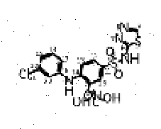 O=CO.O=S(=O)(Nc1nncs1)c1ccc(Nc2cccc(Cl)c2)c(O)c1